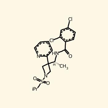 CC(C)S(=O)(=O)N1CC(c2ccccn2)([C@@H](C)NC(=O)c2ccc(Cl)cc2Cl)C1